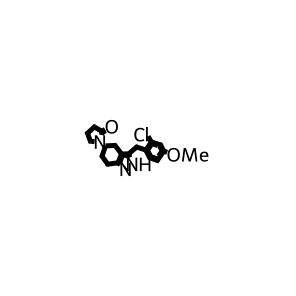 COc1ccc(Cc2[nH]nc3c2CC(N2CCCC2=O)CC3)c(Cl)c1